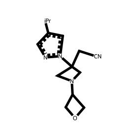 CC(C)c1cnn(C2(CC#N)CN(C3COC3)C2)c1